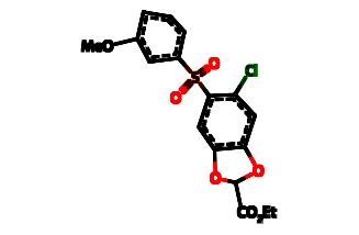 CCOC(=O)C1Oc2cc(Cl)c(S(=O)(=O)c3cccc(OC)c3)cc2O1